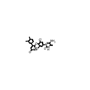 C=C1NC(=O)N(c2cc(Cl)c(Oc3n[nH]c(=O)cc3-c3ccc(C)c(C)c3)c(Cl)c2)N=C1N